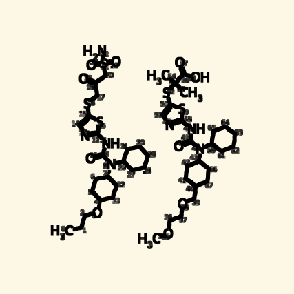 CCCO[C@H]1CC[C@H](N(C(=O)Nc2ncc(SCC(=O)CS(N)(=O)=O)s2)C2CCCCC2)CC1.COCCOCC1CCC(N(C(=O)Nc2ncc(SC(C)(C)C(=O)O)s2)C2CCCCC2)CC1